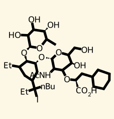 CCCCC(I)(CC)C1CC(CC)[C@@H](O[C@@H]2OC(C)[C@@H](O)C(O)C2O)[C@H](O[C@@H]2OC(CO)[C@H](O)C(O[C@@H](CC3CCCCC3)C(=O)O)C2NC(C)=O)C1